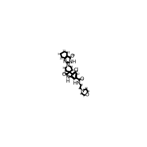 O=C(NCCN1CCOCC1)c1cc(Cl)c2c(c1)NC(=O)C21CCN(c2nc3c(c(=O)[nH]2)CCCC3)CC1